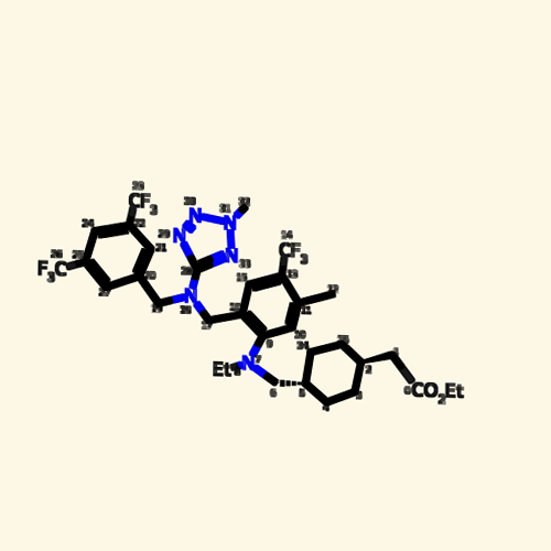 CCOC(=O)C[C@H]1CC[C@H](CN(CC)c2cc(C)c(C(F)(F)F)cc2CN(Cc2cc(C(F)(F)F)cc(C(F)(F)F)c2)c2nnn(C)n2)CC1